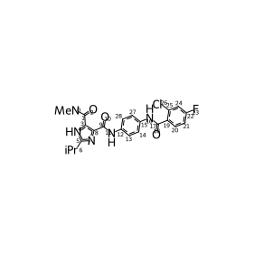 CNC(=O)c1[nH]c(C(C)C)nc1C(=O)Nc1ccc(NC(=O)c2ccc(F)cc2Cl)cc1